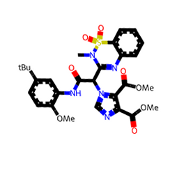 COC(=O)c1ncn(C(C(=O)Nc2cc(C(C)(C)C)ccc2OC)C2=Nc3ccccc3S(=O)(=O)N2C)c1C(=O)OC